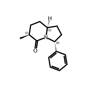 C[C@H]1CC[C@H]2CC[C@H](c3ccccc3)N2C1=O